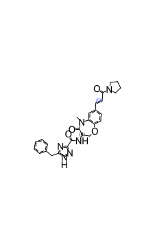 CN1C(=O)[C@H](NC(=O)c2n[nH]c(Cc3ccccc3)n2)COc2ccc(/C=C/C(=O)N3CCCC3)cc21